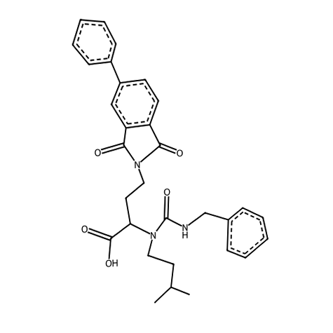 CC(C)CCN(C(=O)NCc1ccccc1)C(CCN1C(=O)c2ccc(-c3ccccc3)cc2C1=O)C(=O)O